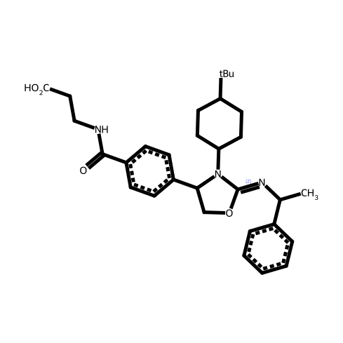 CC(/N=C1\OCC(c2ccc(C(=O)NCCC(=O)O)cc2)N1C1CCC(C(C)(C)C)CC1)c1ccccc1